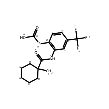 CC1(C(=O)Nc2cc(C(F)(F)F)ccc2SC(=O)O)CCCCC1